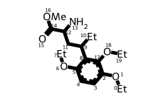 CCOc1ccc(OCC)c(C(CC)CC(N)C(=O)OC)c1OCC